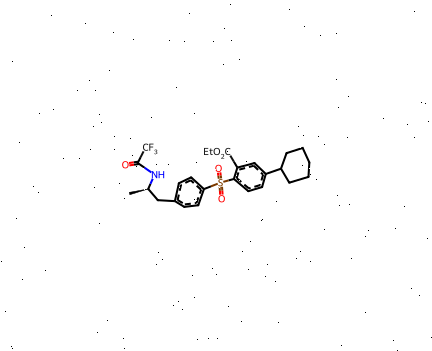 CCOC(=O)c1cc(C2CCCCC2)ccc1S(=O)(=O)c1ccc(C[C@@H](C)NC(=O)C(F)(F)F)cc1